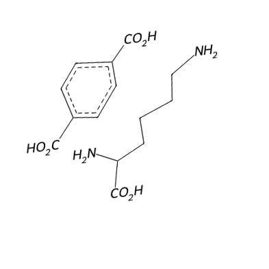 NCCCCC(N)C(=O)O.O=C(O)c1ccc(C(=O)O)cc1